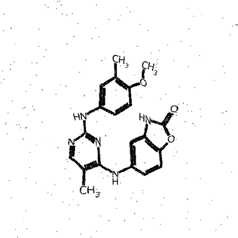 COc1ccc(Nc2ncc(C)c(Nc3ccc4oc(=O)[nH]c4c3)n2)cc1C